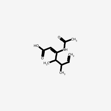 C=CC(C)C(C)C(=CC(=O)O)NC(C)=O